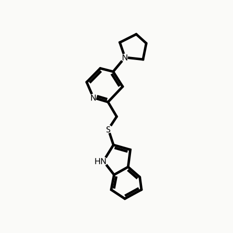 c1ccc2[nH]c(SCc3cc(N4CCCC4)ccn3)cc2c1